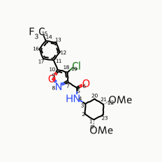 CO[C@@H]1CC(NC(=O)c2noc(-c3ccc(C(F)(F)F)cc3)c2Cl)C[C@H](OC)C1